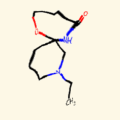 CCN1CCCC2(C1)NC(=O)CCO2